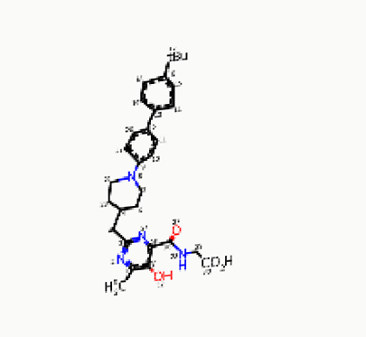 Cc1nc(CC2CCN(c3ccc(-c4ccc(C(C)(C)C)cc4)cc3)CC2)nc(C(=O)NCC(=O)O)c1O